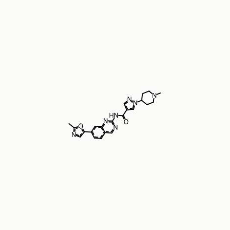 Cc1ncc(-c2ccc3cnc(NC(=O)c4cnn(C5CCN(C)CC5)c4)nc3c2)o1